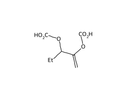 C=C(OC(=O)O)C(CC)OC(=O)O